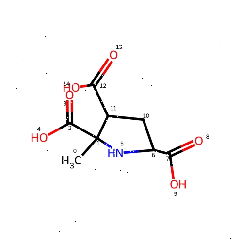 CC1(C(=O)O)NC(C(=O)O)CC1C(=O)O